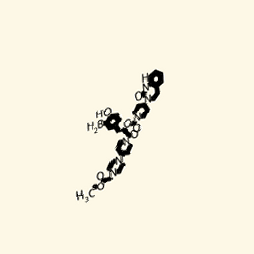 Bc1cc(C[C@@H](OC(=O)N2CCC(N3CCc4ccccc4NC3=O)CC2)C(=O)N2CCC(N3CCN(CC(=O)OCC)CC3)CC2)ccc1O